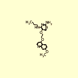 CCCCNc1nc(N)ncc1OCCOc1ccnc2cc(OC)ccc12